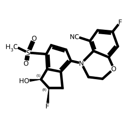 CS(=O)(=O)c1ccc(N2CCOc3cc(F)cc(C#N)c32)c2c1[C@H](O)[C@H](F)C2